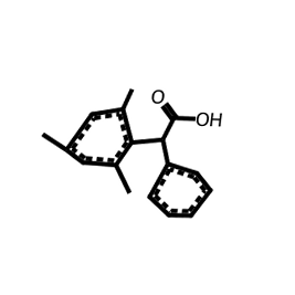 Cc1cc(C)c(C(C(=O)O)c2ccccc2)c(C)c1